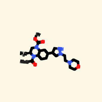 COC(=O)N1C2CCC(C3CNN(CCN4CCOCC4)C3)CC2N(C(=O)OC(C)C)C[C@@H]1C